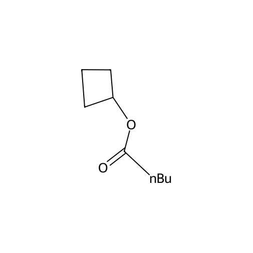 [CH2]CCCC(=O)OC1CCC1